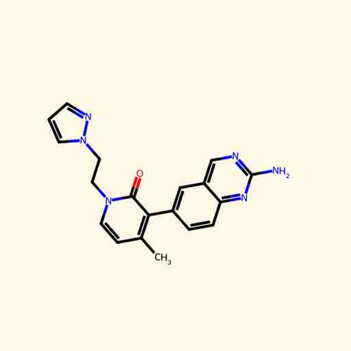 Cc1ccn(CCn2cccn2)c(=O)c1-c1ccc2nc(N)ncc2c1